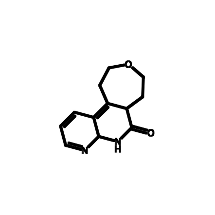 O=C1NC2N=CC=CC2=C2CCOCCC12